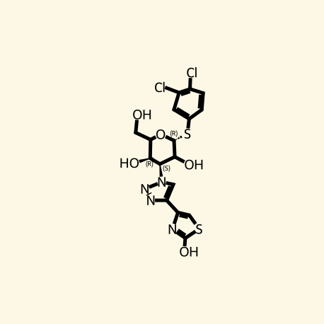 OCC1O[C@H](Sc2ccc(Cl)c(Cl)c2)C(O)[C@@H](n2cc(-c3csc(O)n3)nn2)[C@H]1O